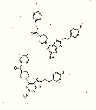 Nc1nc(N2CCN(C(=O)CCc3ccccc3)CC2)c2nc(CCc3ccc(F)cc3)sc2n1.Nc1nc(N2CCN(C(=O)c3ccc(Cl)cc3)CC2)c2nc(CCc3ccc(F)cc3)sc2n1